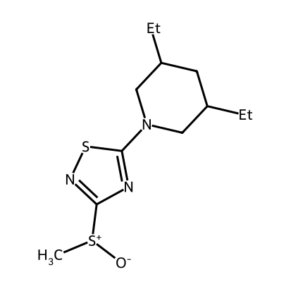 CCC1CC(CC)CN(c2nc([S+](C)[O-])ns2)C1